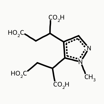 Cn1ncc(C(CC(=O)O)C(=O)O)c1C(CC(=O)O)C(=O)O